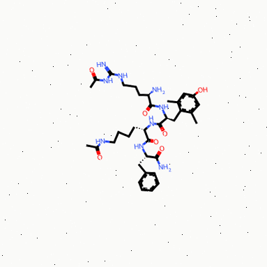 CC(=O)NCCCC[C@H](NC(=O)[C@H](Cc1c(C)cc(O)cc1C)NC(=O)[C@H](N)CCCNC(=N)NC(C)=O)C(=O)N[C@@H](Cc1ccccc1)C(N)=O